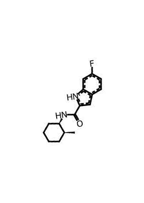 C[C@H]1CCCC[C@H]1NC(=O)c1cc2ccc(F)cc2[nH]1